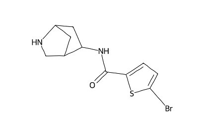 O=C(NC1CC2CC1CN2)c1ccc(Br)s1